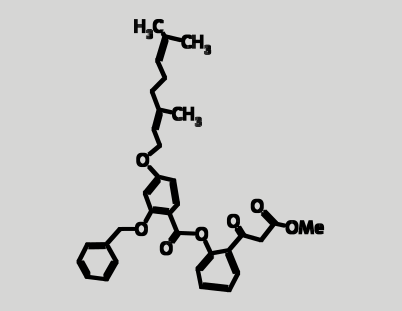 COC(=O)CC(=O)c1ccccc1OC(=O)c1ccc(OC/C=C(\C)CCC=C(C)C)cc1OCc1ccccc1